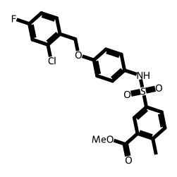 COC(=O)c1cc(S(=O)(=O)Nc2ccc(OCc3ccc(F)cc3Cl)cc2)ccc1C